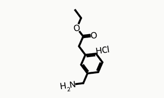 CCOC(=O)Cc1cccc(CN)c1.Cl